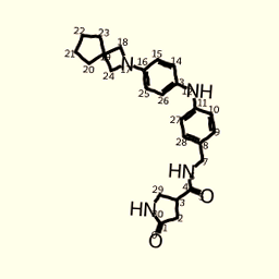 O=C1CC(C(=O)NCc2ccc(Nc3ccc(N4CC5(CCCC5)C4)cc3)cc2)CN1